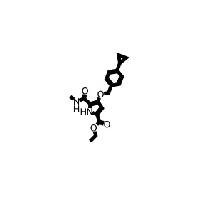 CCOC(=O)c1cc(OCc2ccc(C3CC3)cc2)c(C(=O)NC)[nH]1